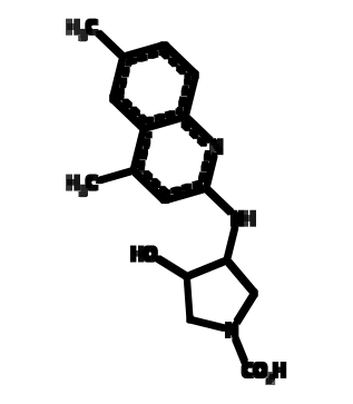 Cc1ccc2nc(NC3CN(C(=O)O)CC3O)cc(C)c2c1